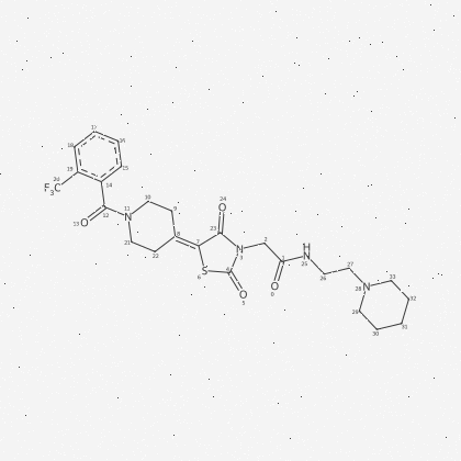 O=C(CN1C(=O)SC(=C2CCN(C(=O)c3ccccc3C(F)(F)F)CC2)C1=O)NCCN1CCCCC1